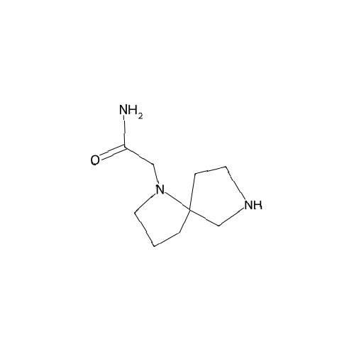 NC(=O)CN1CCCC12CCNC2